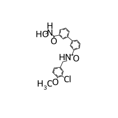 COc1ccc(CCNC(=O)c2cccc(-c3cccc(C(=O)NO)c3)c2)cc1Cl